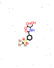 O=C(NC(CO)C(=O)O)c1cccc(S(=O)(=O)C(Br)(Br)Br)c1